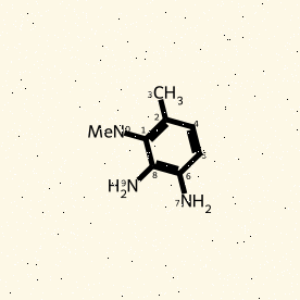 CNc1c(C)ccc(N)c1N